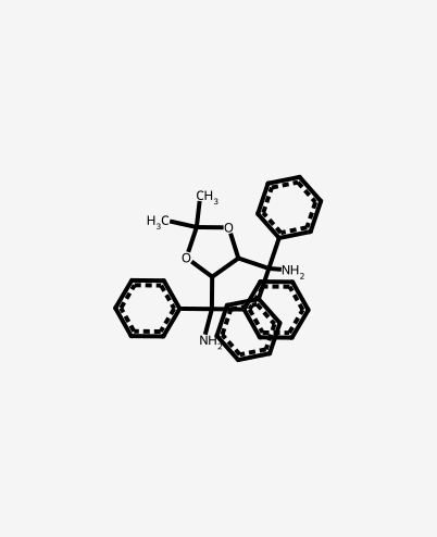 CC1(C)OC(C(N)(c2ccccc2)c2ccccc2)C(C(N)(c2ccccc2)c2ccccc2)O1